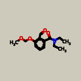 CCN(CC)C(=O)c1cccc(OCOC)c1C=O